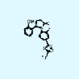 COc1ccccc1C1CCC(=O)N1c1ccc(-c2noc(C(F)(F)F)n2)cc1F